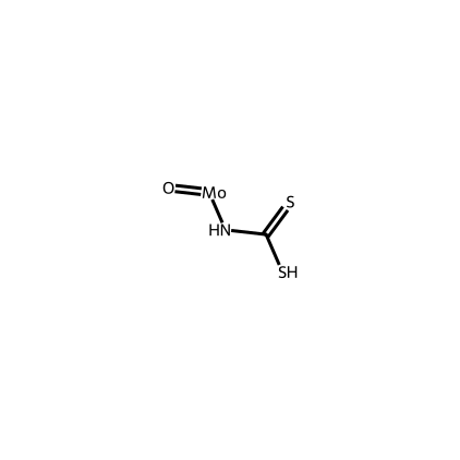 [O]=[Mo][NH]C(=S)S